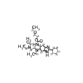 CCOCCOC(=O)Nc1cc2nc(C3CCCCC3)[nH]c2cc1N(CC)CCN(CC)CC